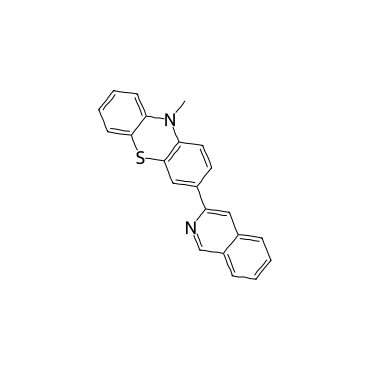 CN1c2ccccc2Sc2cc(-c3cc4ccccc4cn3)ccc21